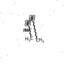 CCCCCCCCCCCCOS(=O)(=O)[O-].CCCCCCCCOS(=O)(=O)[O-].[Na+].[Na+]